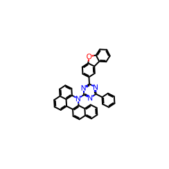 c1ccc(-c2nc(-c3ccc4oc5ccccc5c4c3)nc(N3c4c(ccc5ccccc45)-c4cccc5cccc3c45)n2)cc1